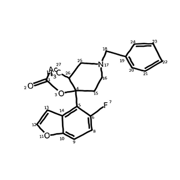 CC(=O)C(=O)OC1(c2c(F)ccc3occc23)CCN(Cc2ccccc2)CC1C